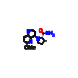 COc1ccc2nccc(N3CC[CH][C@H]3C(N)=O)c2n1